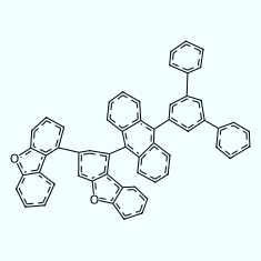 c1ccc(-c2cc(-c3ccccc3)cc(-c3c4ccccc4c(-c4cc(-c5cccc6oc7ccccc7c56)cc5oc6ccccc6c45)c4ccccc34)c2)cc1